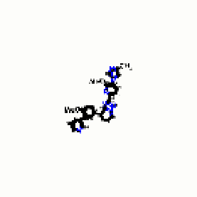 COc1ccc([C@@H]2CCCn3nc(-c4ccc(-n5cnc(C)c5)c(OC)n4)nc32)cc1-c1cccnc1